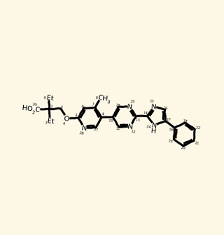 CCC(CC)(COc1cc(C)c(-c2cnc(-c3ncc(-c4ccccc4)[nH]3)nc2)cn1)C(=O)O